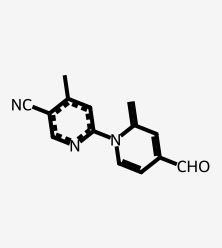 C=C1C=C(C=O)C=CN1c1cc(C)c(C#N)cn1